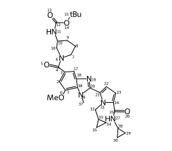 COc1cc(C(=O)N2CCCC(NC(=O)OC(C)(C)C)C2)cc2nc(-c3ccc(C(=O)NC4CC4)n3CC3CC3)n(C)c12